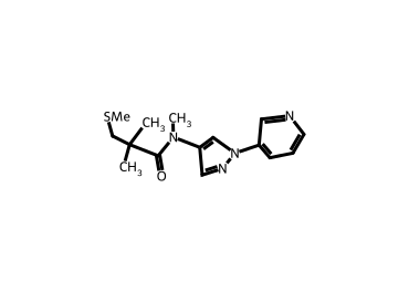 CSCC(C)(C)C(=O)N(C)c1cnn(-c2cccnc2)c1